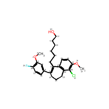 COc1cc(C2=C(CCCCCCO)c3ccc(OC)c(Cl)c3CCC2)ccc1F